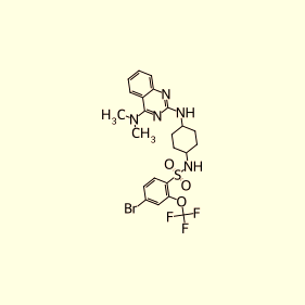 CN(C)c1nc(NC2CCC(NS(=O)(=O)c3ccc(Br)cc3OC(F)(F)F)CC2)nc2ccccc12